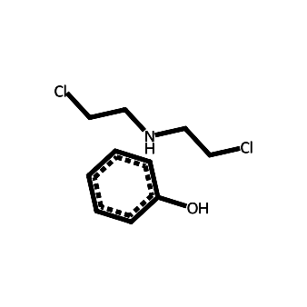 ClCCNCCCl.Oc1ccccc1